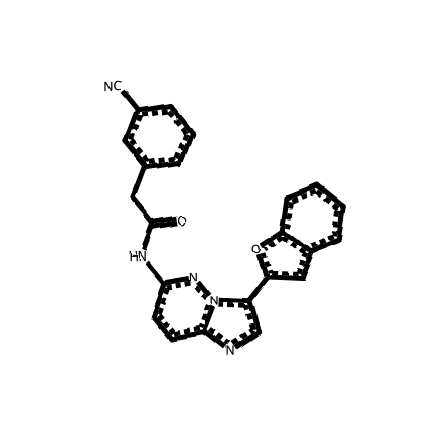 N#Cc1cccc(CC(=O)Nc2ccc3ncc(-c4cc5ccccc5o4)n3n2)c1